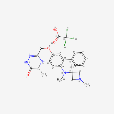 C[C@@H]1C(=O)NN=C2COc3cc(-c4ccccc4)c(N(C)C4(C)CN(C)C4)cc3N21.O=C(O)C(F)(F)F